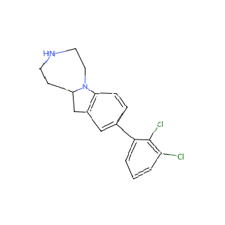 Clc1cccc(-c2ccc3c(c2)CC2CCNCCN32)c1Cl